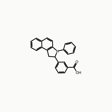 O=C(O)c1cccc(C2Cc3c(ccc4ccccc34)N2c2ccccc2)c1